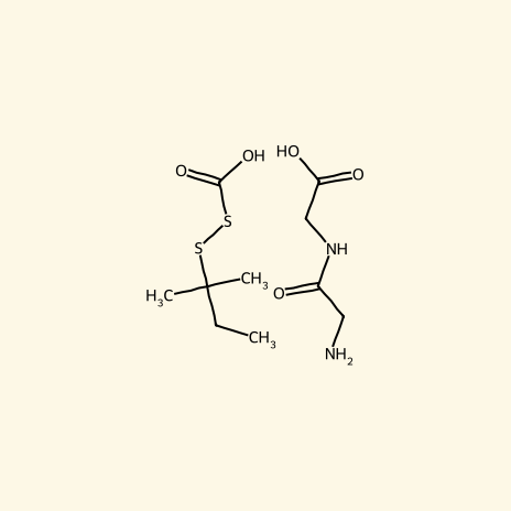 CCC(C)(C)SSC(=O)O.NCC(=O)NCC(=O)O